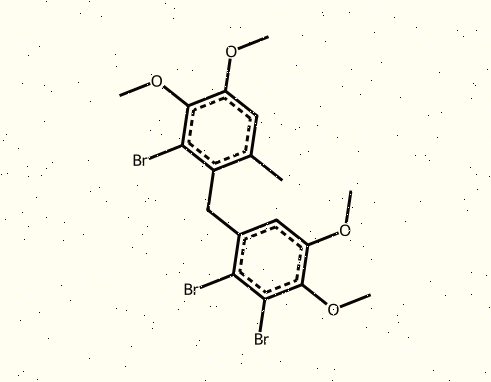 COc1cc(Cc2c(C)cc(OC)c(OC)c2Br)c(Br)c(Br)c1OC